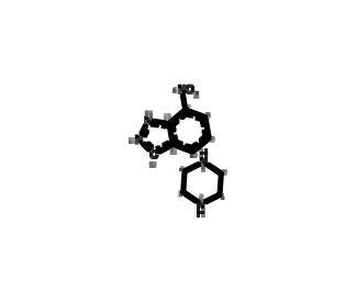 C1CNCCN1.O=[N+]([O-])c1cccc2onnc12